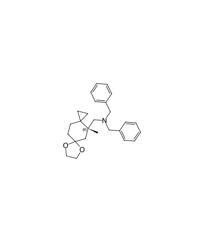 C[C@@]1(CN(Cc2ccccc2)Cc2ccccc2)CC2(CCC13CC3)OCCO2